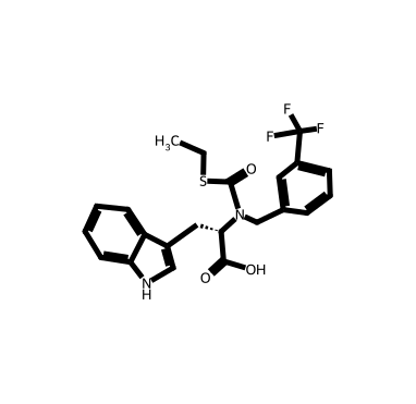 CCSC(=O)N(Cc1cccc(C(F)(F)F)c1)[C@@H](Cc1c[nH]c2ccccc12)C(=O)O